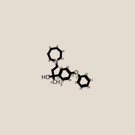 CC(O)(CCN1CCCCCC1)c1ccc(Oc2ccccc2)cc1